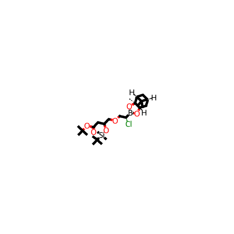 CC(C)(C)OC(=O)CC(COC[C@@H](Cl)B1O[C@@H]2C[C@@H]3C[C@@H](C3(C)C)[C@]2(C)O1)O[Si](C)(C)C(C)(C)C